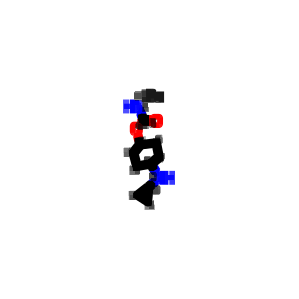 CC(C)(C)NC(=O)OC1CCC(NC2CC2)CC1